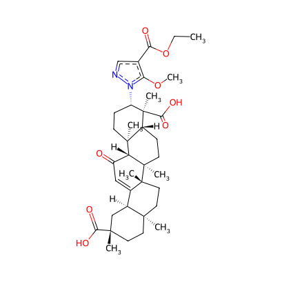 CCOC(=O)c1cnn([C@H]2CC[C@@]3(C)[C@@H](CC[C@]4(C)[C@@H]3C(=O)C=C3[C@@H]5C[C@@](C)(C(=O)O)CC[C@]5(C)CC[C@]34C)[C@]2(C)C(=O)O)c1OC